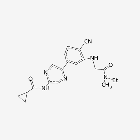 CCN(C)C(=O)CNc1cc(-c2cnc(NC(=O)C3CC3)cn2)ccc1C#N